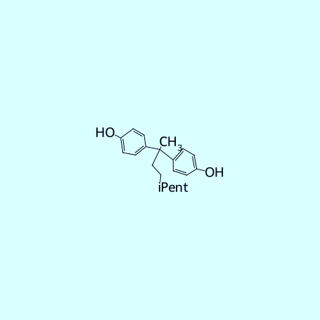 CCCC(C)CCC(C)(c1ccc(O)cc1)c1ccc(O)cc1